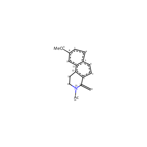 C=C1c2ccc3ccc(OC)cc3c2CCN1C(C)=O